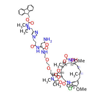 COc1cc2cc(c1Cl)N(C)C(=O)C[C@H](OC(=O)[C@H](C)N(C)C(=O)CCOCCOCCNC(=O)[C@H](CC(N)=O)NC(=O)CCn1cnc(CN(C)N(C)C(=O)OCC3c4ccccc4-c4ccccc43)c1)[C@]1(C)OC1[C@H](C)[C@@H]1C[C@@](O)(NC(=O)O1)[C@H](OC)/C=C/C=C(\C)C2